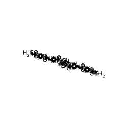 C=CC(=O)Oc1ccc(OC(=O)/C=C/c2ccc(C(=O)O[C@H]3CO[C@H]4[C@@H]3OC[C@H]4OC(=O)c3ccc(/C=C/C(=O)Oc4ccc(OC(=O)C=C)cc4)cc3)cc2)cc1